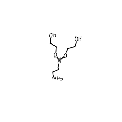 CCCCCCCCN(OCCO)OCCO